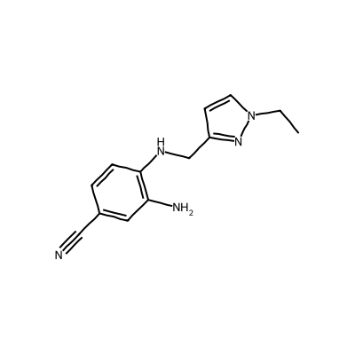 CCn1ccc(CNc2ccc(C#N)cc2N)n1